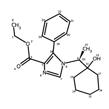 CCOC(=O)c1ncn([C@@H](C)C2(O)CCCCC2)c1-c1ccccc1